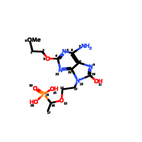 COCCOc1nc(N)c2nc(O)n(CCOC(C)P(=O)(O)O)c2n1